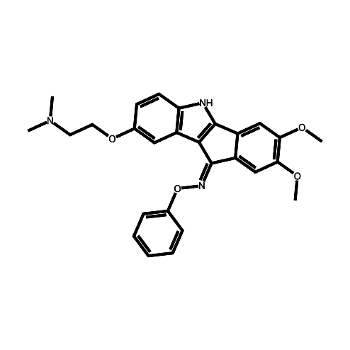 COc1cc2c(cc1OC)-c1[nH]c3ccc(OCCN(C)C)cc3c1C2=NOc1ccccc1